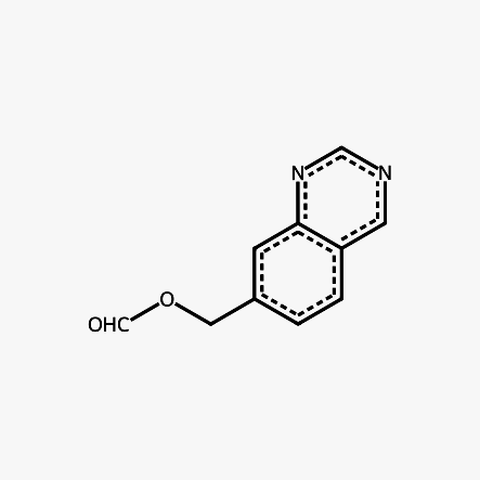 O=COCc1ccc2cncnc2c1